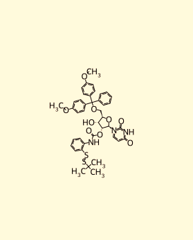 COc1ccc(C(OC[C@H]2O[C@@H](n3ccc(=O)[nH]c3=O)[C@H](OC(=O)Nc3ccccc3SSC(C)(C)C)[C@@H]2O)(c2ccccc2)c2ccc(OC)cc2)cc1